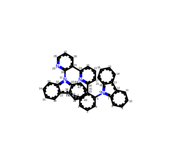 N#Cc1cccc(-n2c3ccccc3c3ccccc32)c1-c1cccc(-c2cccnc2-n2c3ccccc3c3ccccc32)n1